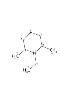 CCN1C(C)C[CH]CC1C